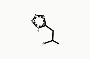 CC([S])Cc1nnn[nH]1